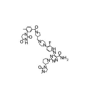 Cc1ccc(C(=O)N2CCC(CN3CCN(c4ccc(Nc5nc(N6CCCC(N7CCN(C)C7=O)C6)nnc5C(N)=O)cc4F)CC3)C2)cc1N1CCC(=O)NC1=O